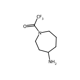 NC1CCCN(C(=O)C(F)(F)F)CC1